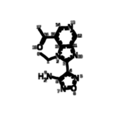 CCn1c(-c2nonc2N)nc2cncc(C(C)=O)c21